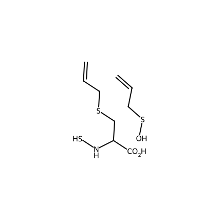 C=CCSCC(NS)C(=O)O.C=CCSO